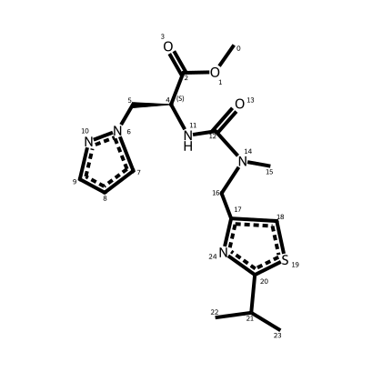 COC(=O)[C@H](Cn1cccn1)NC(=O)N(C)Cc1csc(C(C)C)n1